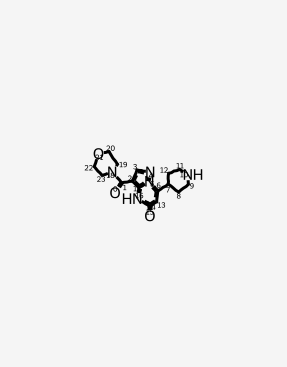 O=C(c1cnn2c(C3CCNCC3)cc(=O)[nH]c12)N1CCOCC1